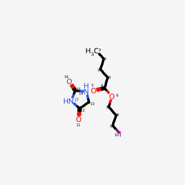 CCCCC(=O)OCCCI.O=C1CNC(=O)N1